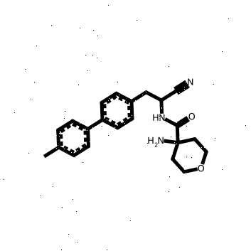 Cc1ccc(-c2ccc(CC(C#N)NC(=O)C3(N)CCOCC3)cc2)cc1